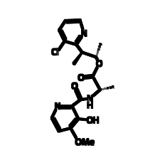 COc1ccnc(C(=O)N[C@@H](C)C(=O)O[C@@H](C)[C@@H](C)c2ncccc2Cl)c1O